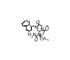 CN1CC(=O)N2CC(=O)N(Cc3cccc4cccnc34)CC2N1C(N)=O